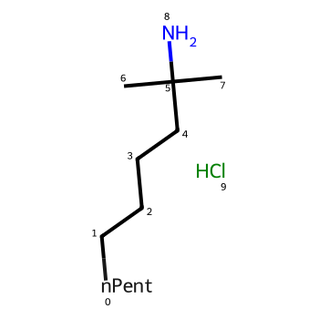 CCCCCCCCCC(C)(C)N.Cl